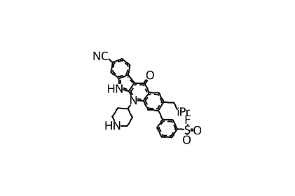 CC(C)Cc1cc2c(=O)c3c4ccc(C#N)cc4[nH]c3n(C3CCNCC3)c2cc1-c1cccc(S(=O)(=O)F)c1